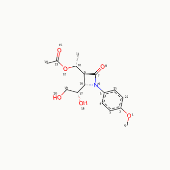 COc1ccc(N2C(=O)[C@H]([C@@H](C)OC(C)=O)[C@H]2[C@H](O)CO)cc1